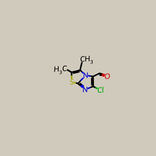 Cc1sc2nc(Cl)c(C=O)n2c1C